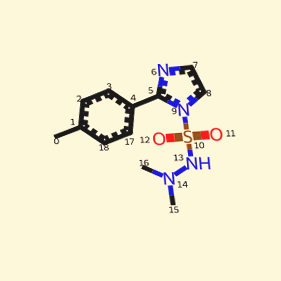 Cc1ccc(-c2nccn2S(=O)(=O)NN(C)C)cc1